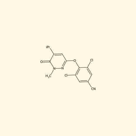 CC(C)c1cc(Oc2c(Cl)cc(C#N)cc2Cl)nn(C)c1=O